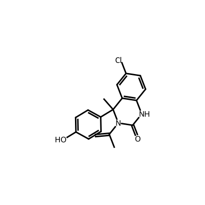 C=C(C)N1C(=O)Nc2ccc(Cl)cc2C1(C)c1ccc(O)cc1